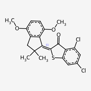 COc1ccc(OC)c2c1CC(C)(C)/C2=C1\Sc2cc(Cl)cc(Cl)c2C1=O